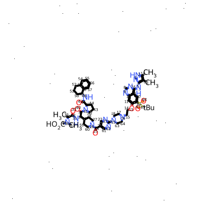 Cc1[nH]nc(Nc2ncnc3cc(OCCN4CCN(c5ncc(C(=O)N6CCC([C@H](NC(=O)C(C)N(C)C(=O)O)C(=O)N7CCCC7C(=O)N[C@@H]7CCCc8ccccc87)CC6)cn5)CC4)c(S(=O)(=O)C(C)(C)C)cc23)c1C